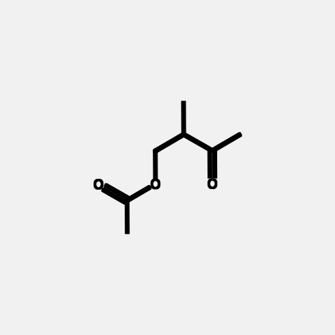 CC(=O)OCC(C)C(C)=O